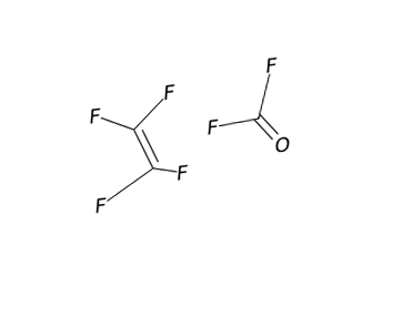 FC(F)=C(F)F.O=C(F)F